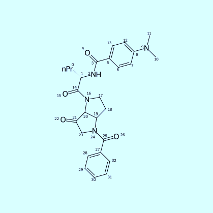 CCC[C@H](NC(=O)c1ccc(N(C)C)cc1)C(=O)N1CCC2C1C(=O)CN2C(=O)c1ccccc1